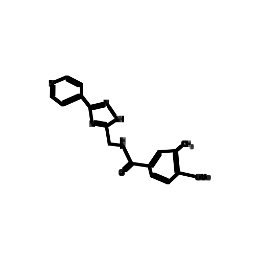 COc1ccc(C(=O)NCc2nc(-c3ccncc3)n[nH]2)cc1C